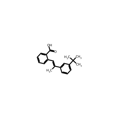 C/C(=C\c1ccccc1C(=O)O)c1cccc(C(C)(C)C)c1